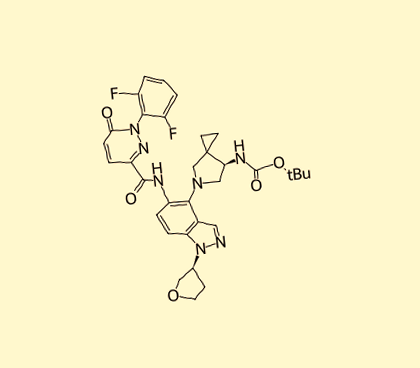 CC(C)(C)OC(=O)N[C@H]1CN(c2c(NC(=O)c3ccc(=O)n(-c4c(F)cccc4F)n3)ccc3c2cnn3[C@H]2CCOC2)CC12CC2